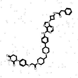 O=C1CC[C@@H](c2ccc(OCC(=O)N3CCC(CN4CCC(c5ccc(Nc6ncnc7c6ncn7C6CC(NC(=O)Cc7ccccc7)C6)cc5)CC4)CC3)cc2)C(=O)N1